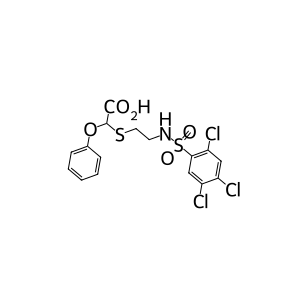 O=C(O)C(Oc1ccccc1)SCCNS(=O)(=O)c1cc(Cl)c(Cl)cc1Cl